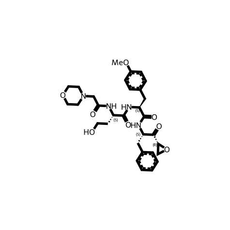 COc1ccc(C[C@H](NC(=O)[C@H](CCO)NC(=O)CN2CCOCC2)C(=O)N[C@@H](Cc2ccccc2)C(=O)[C@H]2CO2)cc1